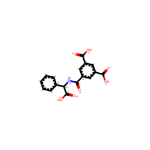 O=C(O)c1cc(C(=O)O)cc(C(=O)NC(C(=O)O)c2ccccc2)c1